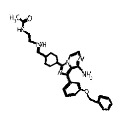 CC(=O)NCCNCC1CCC(c2nc(-c3cccc(OCc4ccccc4)c3)c3c(N)nccn23)CC1